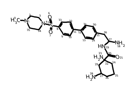 CN1CCN(S(=O)(=O)c2ccc(-c3ccc(CC(N)NC(=O)[C@]4(N)CCCC(N)C4)cc3)cc2)CC1